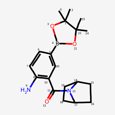 CC1(C)OB(c2ccc(N)c(C(=O)N3C4CCC3CC4)c2)OC1(C)C